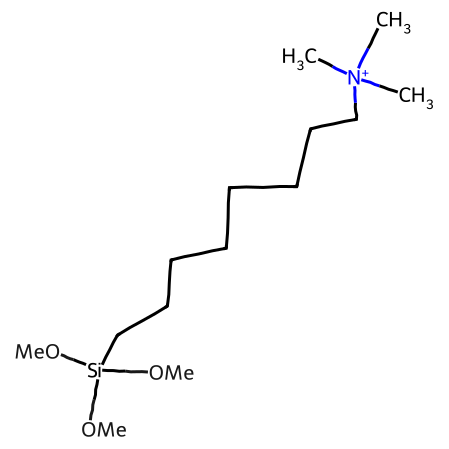 CO[Si](CCCCCCCC[N+](C)(C)C)(OC)OC